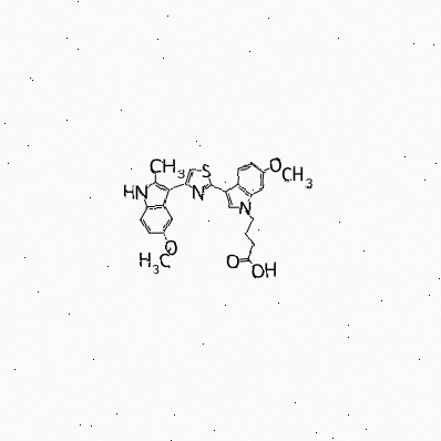 COc1ccc2[nH]c(C)c(-c3csc(-c4cn(CCCC(=O)O)c5cc(OC)ccc45)n3)c2c1